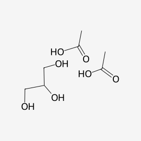 CC(=O)O.CC(=O)O.OCC(O)CO